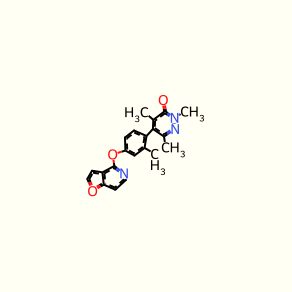 Cc1cc(Oc2nccc3occc23)ccc1-c1c(C)nn(C)c(=O)c1C